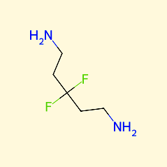 NCCC(F)(F)CCN